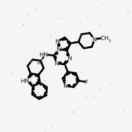 CN1CCC(c2cnn3c(N[C@@H]4CCc5[nH]c6ccccc6c5C4)nc(-c4cncc(F)c4)nc23)CC1